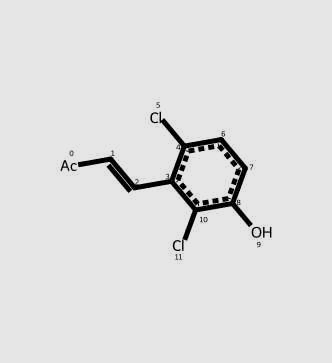 CC(=O)C=Cc1c(Cl)ccc(O)c1Cl